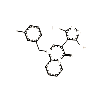 Cc1noc(C)c1-c1c[n+](Cc2cccc(Cl)c2)c2ccccn2c1=O